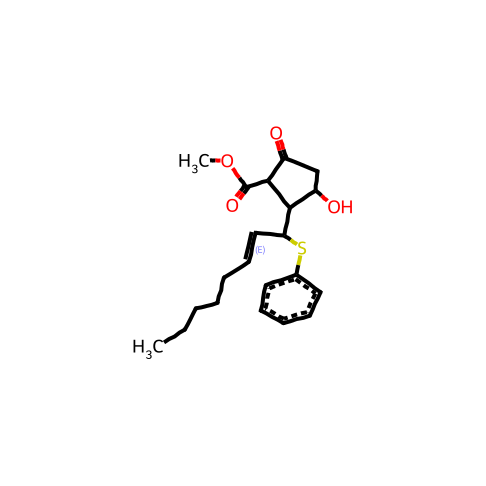 CCCCC/C=C/C(Sc1ccccc1)C1C(O)CC(=O)C1C(=O)OC